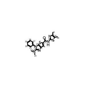 Cc1nc(NC(=O)c2cc3nc(N(C)C)n(-c4ccccc4)c3s2)sc1C